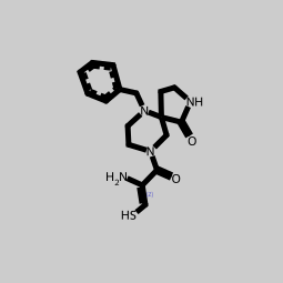 N/C(=C\S)C(=O)N1CCN(Cc2ccccc2)C2(CCNC2=O)C1